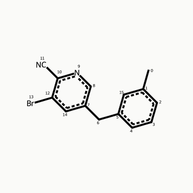 Cc1cccc(Cc2cnc(C#N)c(Br)c2)c1